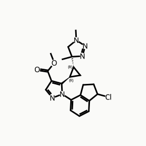 COC(=O)c1cnn(-c2cccc3c2CCC3Cl)c1[C@@H]1C[C@H]1C1(C)CN(C)N=N1